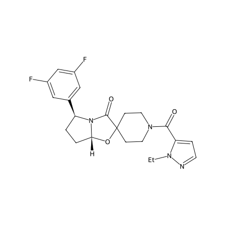 CCn1nccc1C(=O)N1CCC2(CC1)O[C@@H]1CC[C@@H](c3cc(F)cc(F)c3)N1C2=O